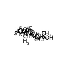 Cc1c(C(NC(=O)Nc2cnc(N3C[C@H](O)[C@H]3C)nc2)C(F)(F)F)oc2ccc(F)cc12